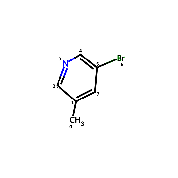 Cc1[c]ncc(Br)c1